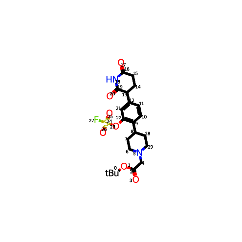 CC(C)(C)OC(=O)CN1CCC(c2ccc(C3CCC(=O)NC3=O)cc2OS(=O)(=O)F)CC1